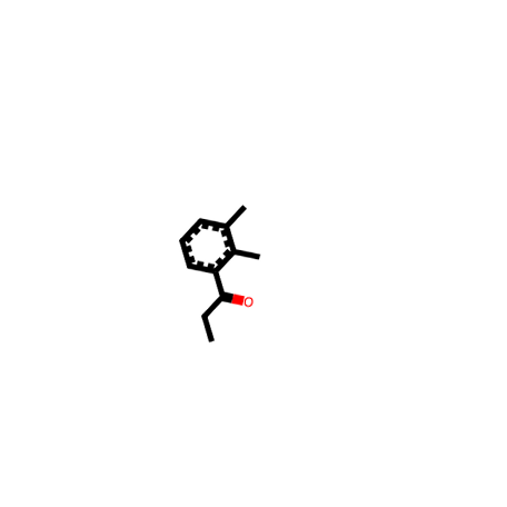 CCC(=O)c1cccc(C)c1C